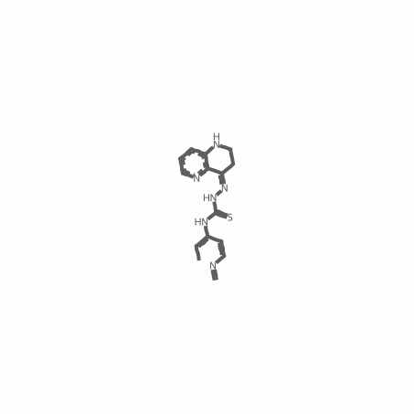 C=N/C=C\C(=C/C)NC(=S)N/N=C1/CCNc2cccnc21